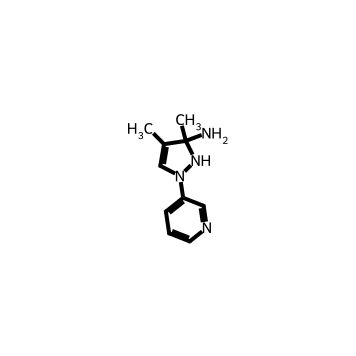 CC1=CN(c2cccnc2)NC1(C)N